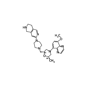 COc1ccc(N2C[C@H](CN3CCN(c4cc5c(cn4)CCNC5)CC3)O[C@H](C)C2)c2nccnc12